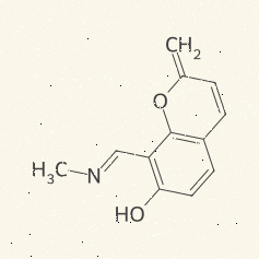 C=C1C=Cc2ccc(O)c(/C=N/C)c2O1